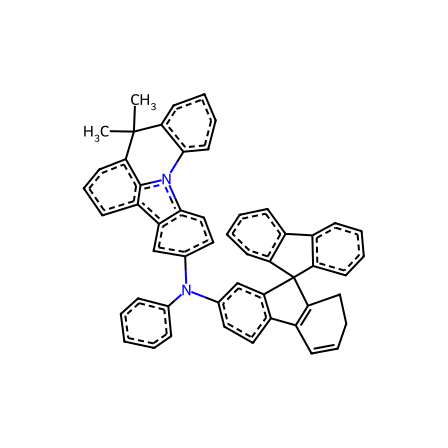 CC1(C)c2ccccc2-n2c3ccc(N(c4ccccc4)c4ccc5c(c4)C4(C6=C5C=CCC6)c5ccccc5-c5ccccc54)cc3c3cccc1c32